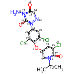 CC(C)n1cc(Oc2c(Cl)cc(-n3ncc(=O)n(N)c3=O)cc2Cl)cc(Cl)c1=O